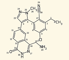 CCc1cc(Cl)cc(-c2c(-c3ccc4c(=O)[nH]nc(CN)c4c3)cnn2C)c1C#N